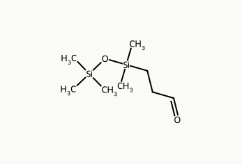 C[Si](C)(C)O[Si](C)(C)CCC=O